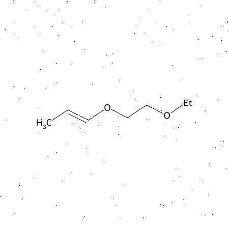 CC=COCCOCC